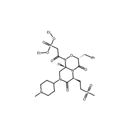 CCOP(=O)(CC(=O)N1O[C@H](CC(C)C)C(=O)N2[C@@H]1CN(C1CCN(C)CC1)C(=O)[C@@H]2CCS(C)(=O)=O)OCC